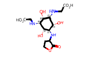 O=C(O)CN[C@@H]1[C@H](O)[C@H](NCC(=O)O)[C@H](O)[C@H](NC2CCOC2=O)[C@@H]1O